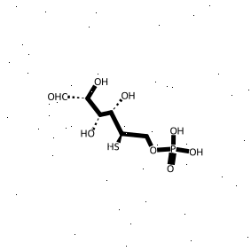 O=C[C@H](O)[C@@H](O)[C@H](O)[C@H](S)COP(=O)(O)O